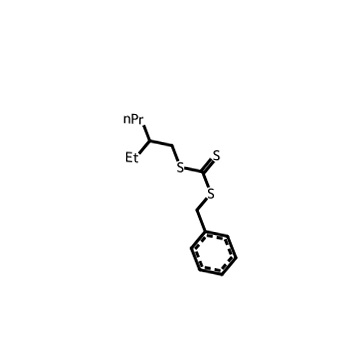 CCCC(CC)CSC(=S)SCc1ccccc1